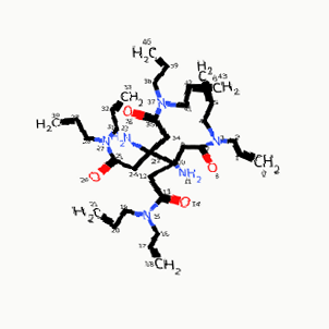 C=CCN(CC=C)C(=O)CC(N)(CC(=O)N(CC=C)CC=C)C(N)(CC(=O)N(CC=C)CC=C)CC(=O)N(CC=C)CC=C